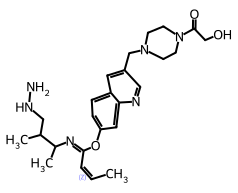 C/C=C\C(=NC(C)C(C)CNN)Oc1ccc2cc(CN3CCN(C(=O)CO)CC3)cnc2c1